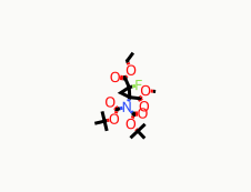 CCOC(=O)C1(F)CC1(C(=O)OC)N(C(=O)OC(C)(C)C)C(=O)OC(C)(C)C